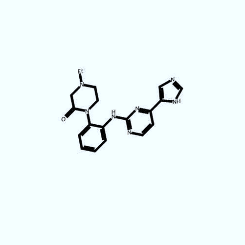 CCN1CCN(c2ccccc2Nc2nccc(-c3cnc[nH]3)n2)C(=O)C1